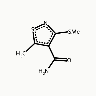 CSc1nsc(C)c1C(N)=O